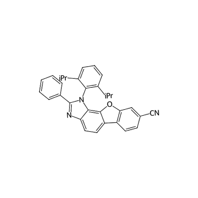 CC(C)c1cccc(C(C)C)c1-n1c(-c2ccccc2)nc2ccc3c4ccc(C#N)cc4oc3c21